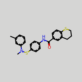 Cc1cccc(N(C)Sc2ccc(NC(=O)c3ccc4c(c3)CCCS4)cc2)c1